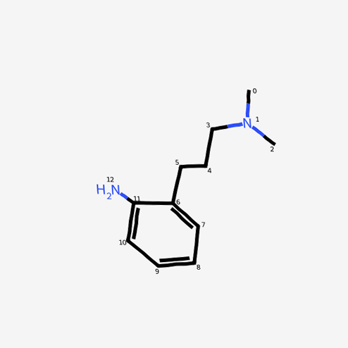 CN(C)CCCc1ccccc1N